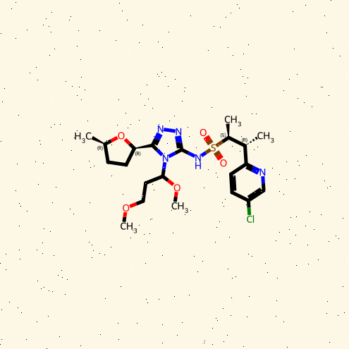 COCCC(OC)n1c(NS(=O)(=O)[C@@H](C)[C@H](C)c2ccc(Cl)cn2)nnc1[C@H]1CC[C@@H](C)O1